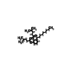 CCCCCCCCCc1cccc(OC(=O)CCC(C)C)c1OC(=O)CCC(C)C